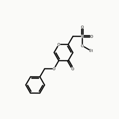 CCOS(=O)(=O)Cc1cc(=O)c(OCc2ccccc2)co1